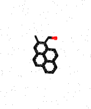 Cc1cc2ccc3cccc4ccc(c1C=O)c2c34